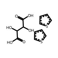 O=C(O)C(O)C(O)C(=O)O.c1ccsc1.c1ccsc1